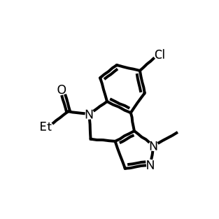 CCC(=O)N1Cc2cnn(C)c2-c2cc(Cl)ccc21